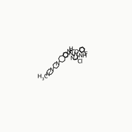 CN1CCN(C2CCN(C3CCc4ccc(Nc5ncc(Cl)c(Nc6c(F)cccc6OCC#N)n5)cc4CC3)CC2)CC1